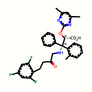 Cc1cc(C)nc(O[C@H](C(=O)O)[C@](NCC(=O)CCc2c(F)cc(F)cc2F)(c2ccccc2)c2ccccc2C)n1